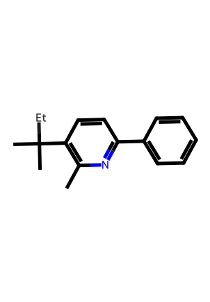 CCC(C)(C)c1ccc(-c2ccccc2)nc1C